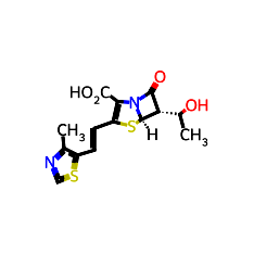 Cc1ncsc1/C=C/C1=C(C(=O)O)N2C(=O)[C@H](C(C)O)[C@H]2S1